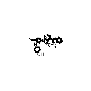 Cc1nn(-c2ccc(C#N)c(N[C@H]3CC[C@H](O)CC3)c2)c2nccc(-c3cnc4ccccc4c3)c12